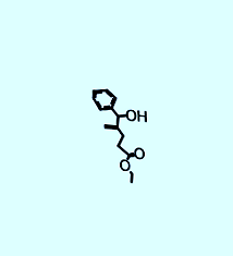 C=C(CCC(=O)OCC)C(O)c1ccccc1